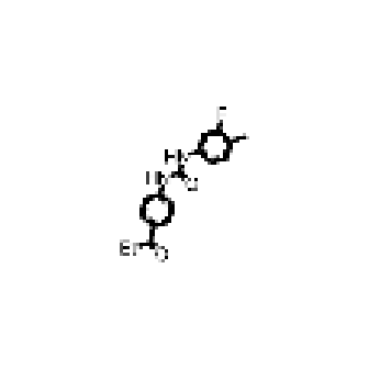 CCC(=O)c1ccc(NC(=O)Nc2ccc(C)c(F)c2)cc1